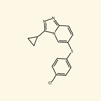 Clc1ccc(Sc2ccc3nnc(C4CC4)n3c2)cc1